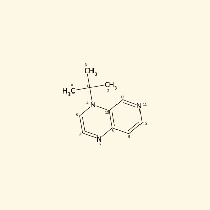 CC(C)(C)N1C=C=Nc2ccncc21